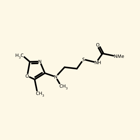 CNC(=O)NSCCN(C)c1nc(C)oc1C